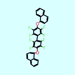 Fc1c(F)c(-c2c(F)c(F)c(Oc3cccc4ccccc34)c(F)c2F)c(F)c(F)c1Oc1cccc2ccccc12